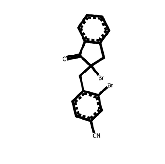 N#Cc1ccc(CC2(Br)Cc3ccccc3C2=O)c(Br)c1